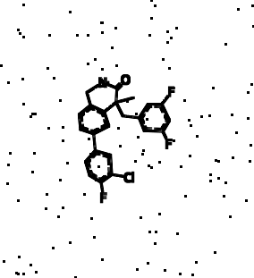 CC1(Cc2cc(F)cc(F)c2)C(=O)[N]Cc2ccc(-c3ccc(F)c(Cl)c3)cc21